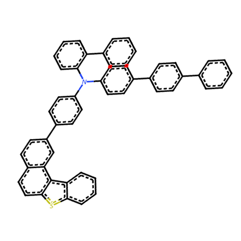 c1ccc(-c2ccc(-c3ccc(N(c4ccc(-c5ccc6ccc7sc8ccccc8c7c6c5)cc4)c4ccccc4-c4ccccc4)cc3)cc2)cc1